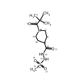 CC(C)(C)C(=O)N1CCC(C(=O)NNS(C)(=O)=O)CC1